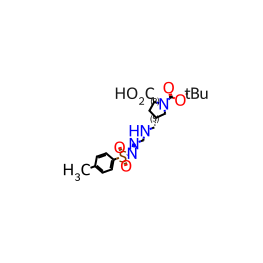 Cc1ccc(S(=O)(=O)N=NCNC[C@@H]2C[C@H](C(=O)O)N(C(=O)OC(C)(C)C)C2)cc1